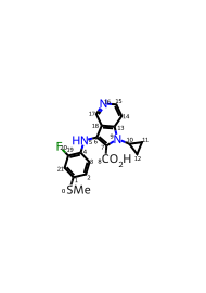 CSc1ccc(Nc2c(C(=O)O)n(C3CC3)c3ccncc23)c(F)c1